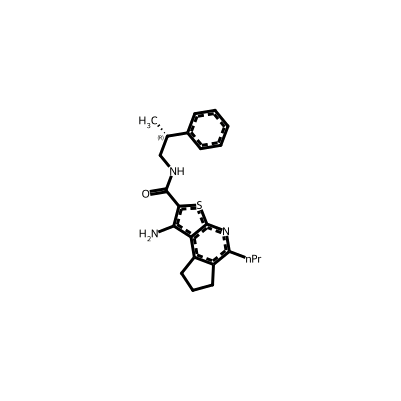 CCCc1nc2sc(C(=O)NC[C@H](C)c3ccccc3)c(N)c2c2c1CCC2